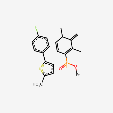 C=C1C(C)=C([PH](=O)OCC)C=CC1C.O=C(O)c1ccc(-c2ccc(F)cc2)s1